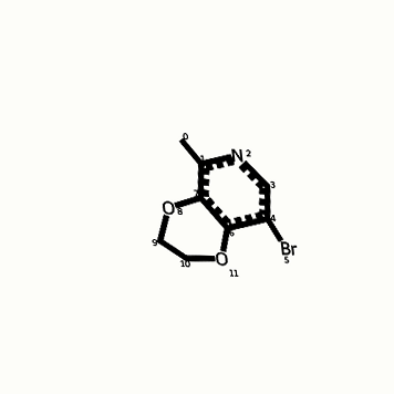 Cc1ncc(Br)c2c1OCCO2